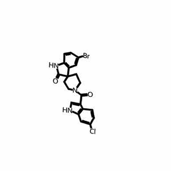 O=C(c1c[nH]c2cc(Cl)ccc12)N1CCC2(CC1)C(=O)Nc1ccc(Br)cc12